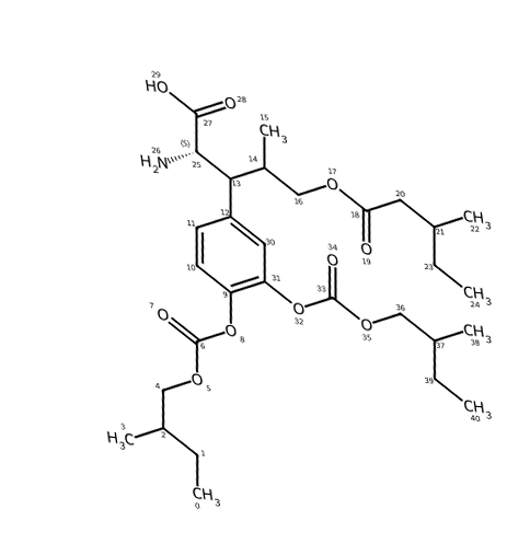 CCC(C)COC(=O)Oc1ccc(C(C(C)COC(=O)CC(C)CC)[C@H](N)C(=O)O)cc1OC(=O)OCC(C)CC